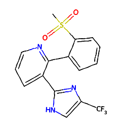 CS(=O)(=O)c1ccccc1-c1ncccc1-c1nc(C(F)(F)F)c[nH]1